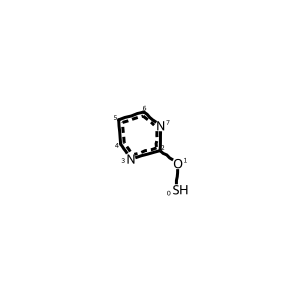 SOc1ncccn1